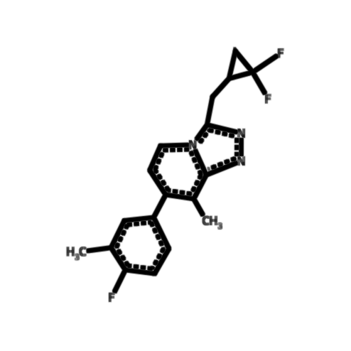 Cc1cc(-c2ccn3c(CC4CC4(F)F)nnc3c2C)ccc1F